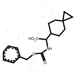 O=C(NC(C(=O)O)C1CCC2(CC1)CC2)OCc1ccccc1